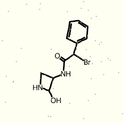 O=C(NC1CNC1O)C(Br)c1ccccc1